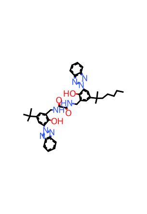 CCCCCC(C)(C)c1cc(CNC(=O)C(=O)NCc2cc(C(C)(C)C)cc(-n3nc4ccccc4n3)c2O)c(O)c(-n2nc3ccccc3n2)c1